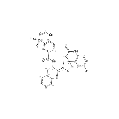 O=C1Nc2ccc(Cl)cc2C2(CCN(C(=O)[C@H](Cc3ccccc3)NC(=O)c3ccc4c(c3)S(=O)(=O)N=CN4)C2)O1